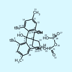 Cc1cc(C(C)(C)C)c(C(O)(c2c(C(C)(C)C)cc(C)cc2C(C)(C)C)C(CO)(CO)CO)c(C(C)(C)C)c1.O=[PH](O)O[PH](=O)O